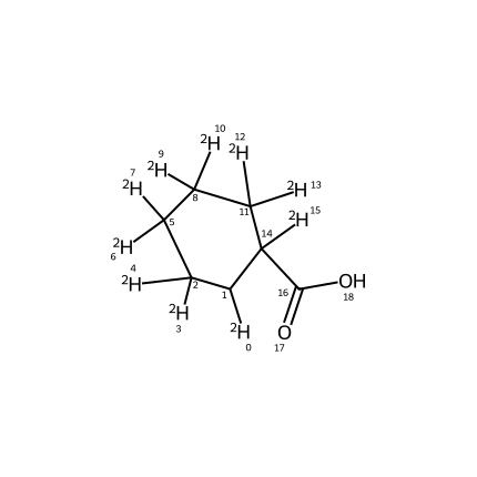 [2H]C1C([2H])([2H])C([2H])([2H])C([2H])([2H])C([2H])([2H])C1([2H])C(=O)O